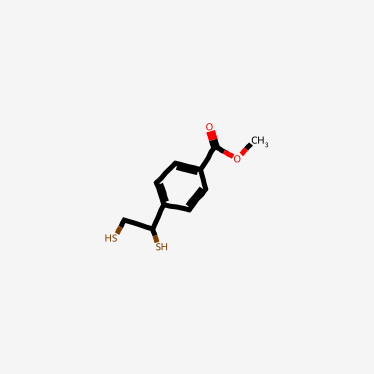 COC(=O)c1ccc(C(S)CS)cc1